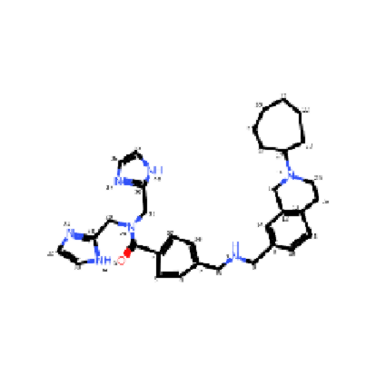 O=C(c1ccc(CNCc2ccc3c(c2)CN(C2CCCCCC2)CC3)cc1)N(Cc1ncc[nH]1)Cc1ncc[nH]1